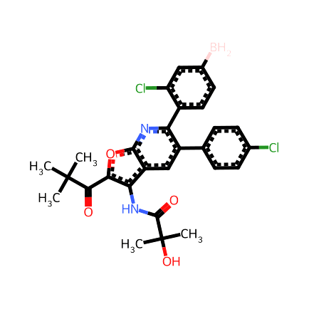 Bc1ccc(-c2nc3oc(C(=O)C(C)(C)C)c(NC(=O)C(C)(C)O)c3cc2-c2ccc(Cl)cc2)c(Cl)c1